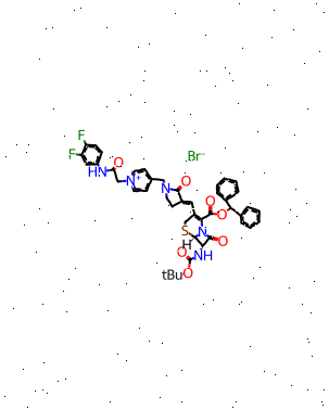 CC(C)(C)OC(=O)N[C@@H]1C(=O)N2C(C(=O)OC(c3ccccc3)c3ccccc3)=C(C=C3CCN(Cc4cc[n+](CC(=O)Nc5ccc(F)c(F)c5)cc4)C3=O)CS[C@H]12.[Br-]